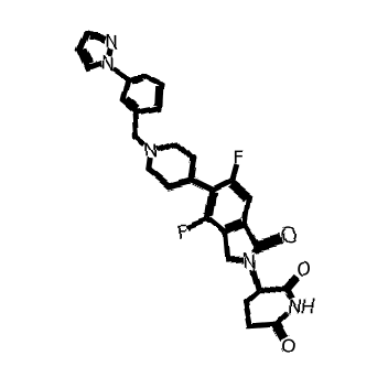 O=C1CCC(N2Cc3c(cc(F)c(C4CCN(Cc5cccc(-n6cccn6)c5)CC4)c3F)C2=O)C(=O)N1